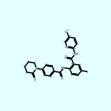 Cc1ccc(NC(=O)c2ccc(N3CCCCC3=O)cc2)c(C(=O)Nc2ccc(Cl)cn2)c1